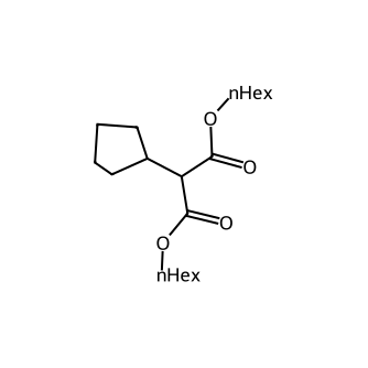 CCCCCCOC(=O)C(C(=O)OCCCCCC)C1CCCC1